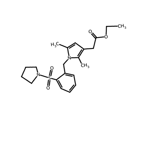 CCOC(=O)Cc1cc(C)n(Cc2ccccc2S(=O)(=O)N2CCCC2)c1C